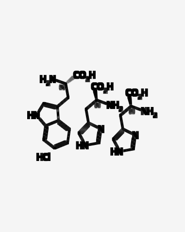 Cl.N[C@@H](Cc1c[nH]c2ccccc12)C(=O)O.N[C@@H](Cc1c[nH]cn1)C(=O)O.N[C@@H](Cc1c[nH]cn1)C(=O)O